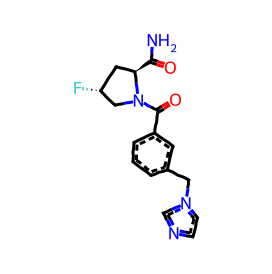 NC(=O)[C@@H]1C[C@@H](F)CN1C(=O)c1cccc(Cn2ccnc2)c1